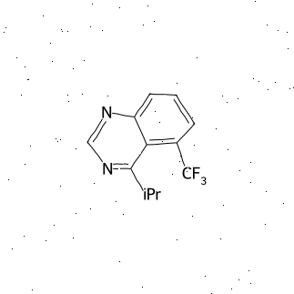 CC(C)c1ncnc2cccc(C(F)(F)F)c12